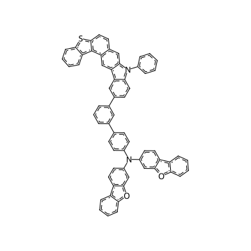 c1ccc(-n2c3ccc(-c4cccc(-c5ccc(N(c6ccc7c(c6)oc6ccccc67)c6ccc7c(c6)oc6ccccc67)cc5)c4)cc3c3cc4c(ccc5sc6ccccc6c54)cc32)cc1